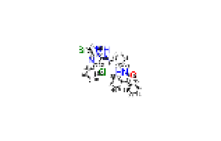 O=C(NCc1cccc(CNc2cc(-c3ccccc3Cl)nc3c(Br)cnn23)c1)C(c1ccccc1)c1ccccc1